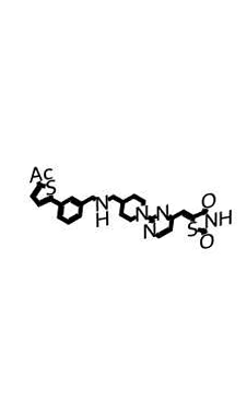 CC(=O)c1ccc(-c2cccc(CNCC3CCN(c4nccc(/C=C5\SC(=O)NC5=O)n4)CC3)c2)s1